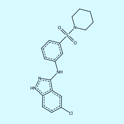 O=S(=O)(c1cccc(Nc2n[nH]c3ccc(Cl)cc23)c1)N1CCCCC1